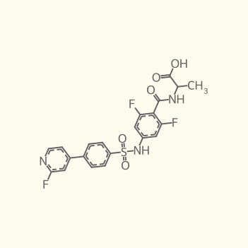 CC(NC(=O)c1c(F)cc(NS(=O)(=O)c2ccc(-c3ccnc(F)c3)cc2)cc1F)C(=O)O